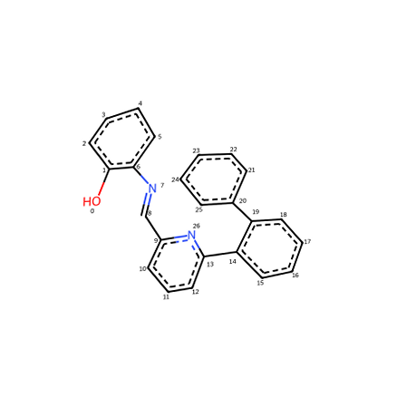 Oc1ccccc1/N=C/c1cccc(-c2ccccc2-c2ccccc2)n1